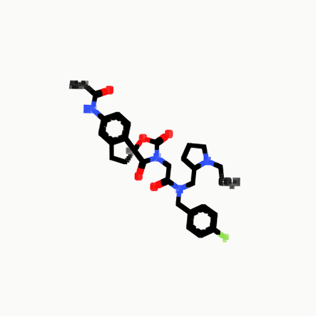 CNC(=O)Nc1ccc2c(c1)CC[C@@]21OC(=O)N(CC(=O)N(Cc2ccc(F)cc2)CC2CCCN2CC(=O)O)C1=O